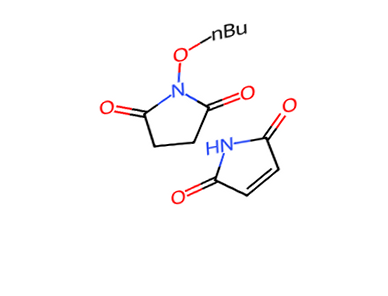 CCCCON1C(=O)CCC1=O.O=C1C=CC(=O)N1